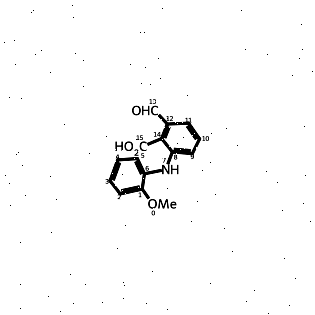 COc1ccccc1Nc1cccc(C=O)c1C(=O)O